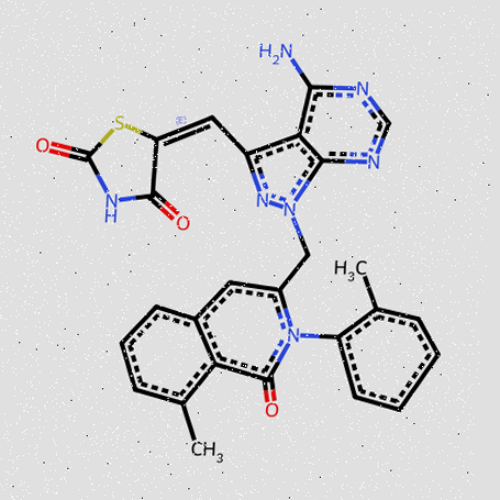 Cc1ccccc1-n1c(Cn2nc(/C=C3/SC(=O)NC3=O)c3c(N)ncnc32)cc2cccc(C)c2c1=O